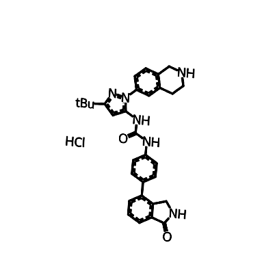 CC(C)(C)c1cc(NC(=O)Nc2ccc(-c3cccc4c3CNC4=O)cc2)n(-c2ccc3c(c2)CCNC3)n1.Cl